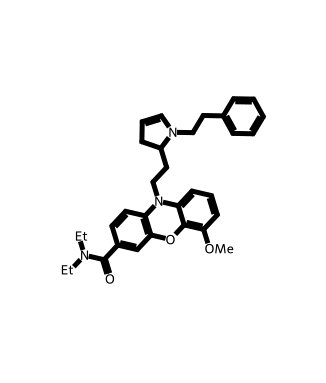 CCN(CC)C(=O)c1ccc2c(c1)Oc1c(OC)cccc1N2CCC1CC=CN1CCc1ccccc1